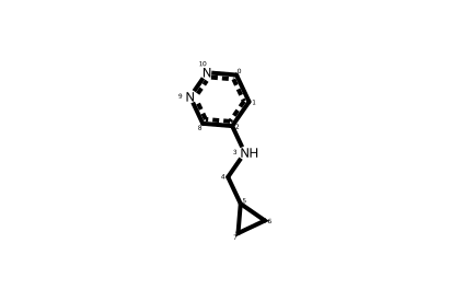 c1cc(NCC2CC2)cnn1